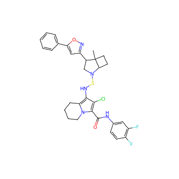 CC12CCC1N(SNc1c(Cl)c(C(=O)Nc3ccc(F)c(F)c3)n3c1CCCC3)CC2c1cc(-c2ccccc2)on1